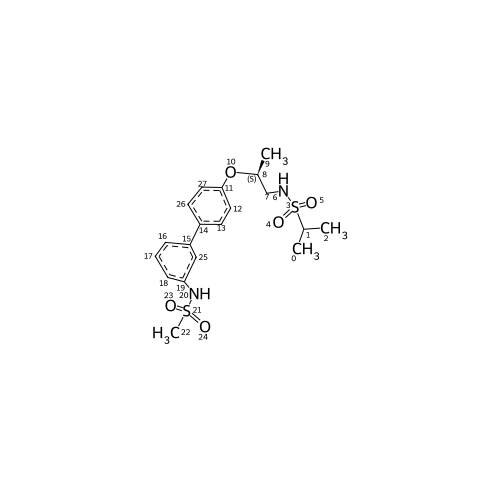 CC(C)S(=O)(=O)NC[C@H](C)Oc1ccc(-c2cccc(NS(C)(=O)=O)c2)cc1